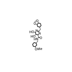 COc1cccc(CNC(=O)c2nc(Cc3ccc4c(c3)OCO4)nc(O)c2O)c1